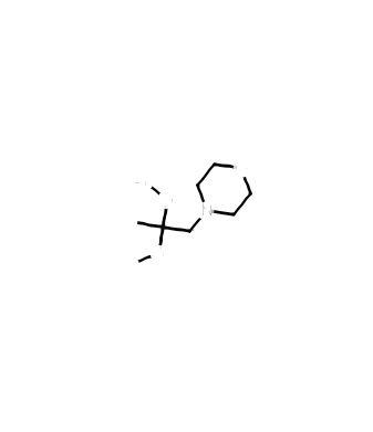 CCOC(C)([CH]N1CCOCC1)OCC